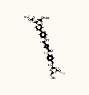 CC(C)(C)OC(=O)/N=C(/NCc1ccc(NC(=O)C23CC(C(=O)Nc4ccc(C5=CCN(/C(=N\C(=O)OC(C)(C)C)NC(=O)OC(C)(C)C)CC5)cc4)(C2)C3)cc1)NC(=O)OC(C)(C)C